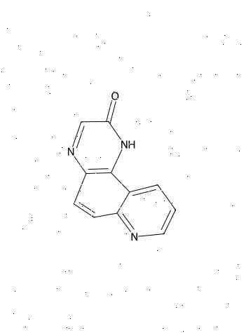 O=c1cnc2ccc3ncccc3c2[nH]1